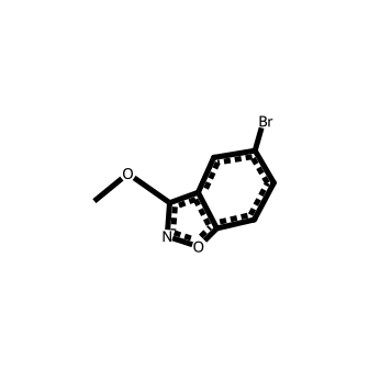 COc1noc2ccc(Br)cc12